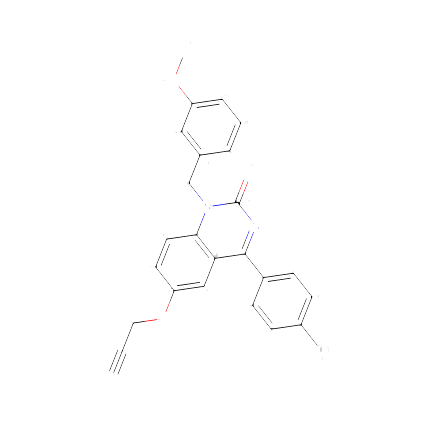 C#CCOc1ccc2c(c1)c(-c1ccc(C(C)C)cc1)nc(=O)n2Cc1cccc(OCC)c1